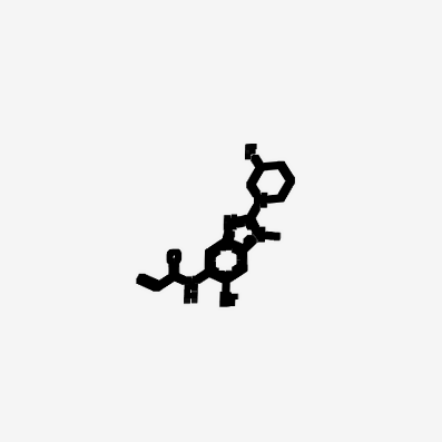 C=CC(=O)Nc1cc2nc(N3CCCC(F)C3)n(C)c2cc1Br